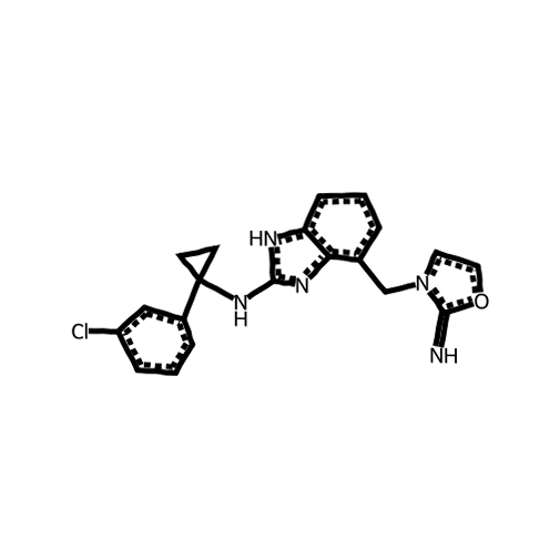 N=c1occn1Cc1cccc2[nH]c(NC3(c4cccc(Cl)c4)CC3)nc12